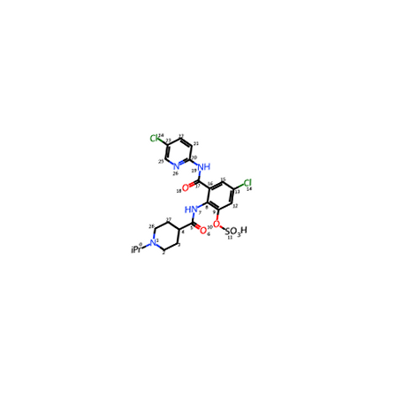 CC(C)N1CCC(C(=O)Nc2c(OS(=O)(=O)O)cc(Cl)cc2C(=O)Nc2ccc(Cl)cn2)CC1